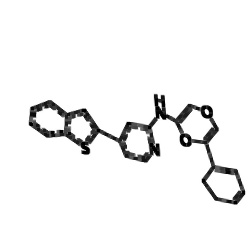 C1=CCCC(C2=COC=C(Nc3cc(-c4cc5ccccc5s4)ccn3)O2)=C1